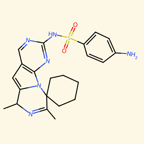 CC1=NC(C)c2cc3cnc(NS(=O)(=O)c4ccc(N)cc4)nc3n2C12CCCCC2